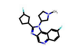 CN1CCC(n2c(C3CCC(F)C3)nc3cnc4ccc(F)cc4c32)C1